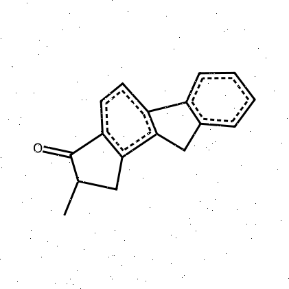 CC1Cc2c(ccc3c2Cc2ccccc2-3)C1=O